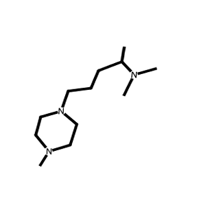 CC(CCCN1CCN(C)CC1)N(C)C